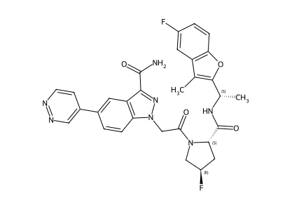 Cc1c([C@H](C)NC(=O)[C@@H]2C[C@@H](F)CN2C(=O)Cn2nc(C(N)=O)c3cc(-c4ccnnc4)ccc32)oc2ccc(F)cc12